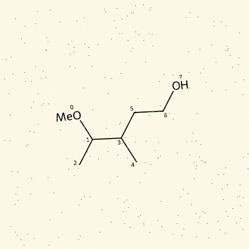 COC(C)C(C)CCO